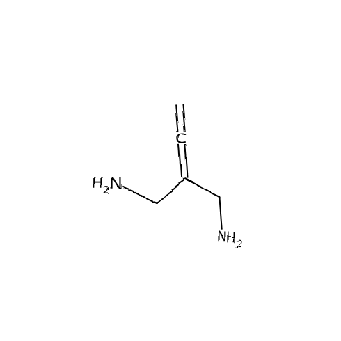 C=C=C(CN)CN